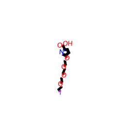 O=C(O)c1ccc(OCCOCCOCCOCCI)cn1